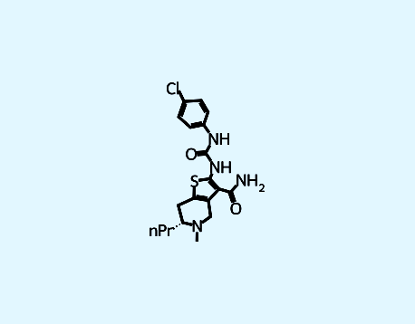 CCC[C@@H]1Cc2sc(NC(=O)Nc3ccc(Cl)cc3)c(C(N)=O)c2CN1C